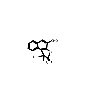 CC1(C)C(=O)Oc2c(C=O)cc3ccccc3c21